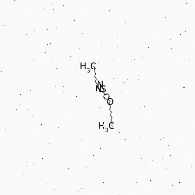 CCCCCCCCCOc1ccc(-c2cn3cc(CCCCCCC)nc3s2)cc1